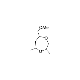 COCC1CC(C)OC(C)CO1